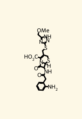 COCc1nc(SCC2=C(C(=O)O)N3C(=O)C(NC(=O)Cc4ccccc4N)[C@@H]3SC2)n[nH]1